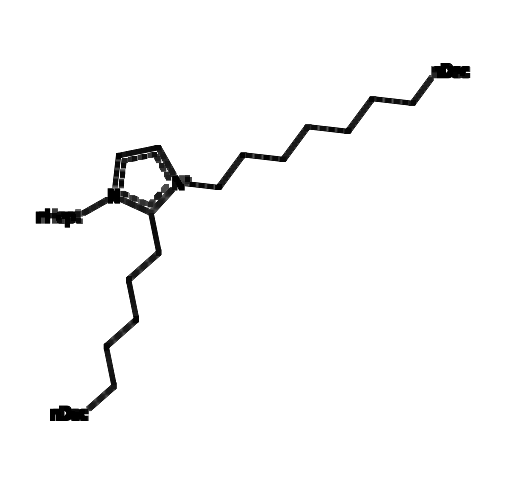 CCCCCCCCCCCCCCCCC[n+]1ccn(CCCCCCC)c1CCCCCCCCCCCCCCC